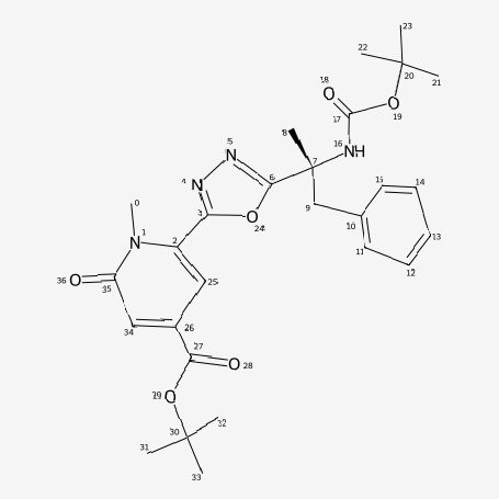 Cn1c(-c2nnc([C@@](C)(Cc3ccccc3)NC(=O)OC(C)(C)C)o2)cc(C(=O)OC(C)(C)C)cc1=O